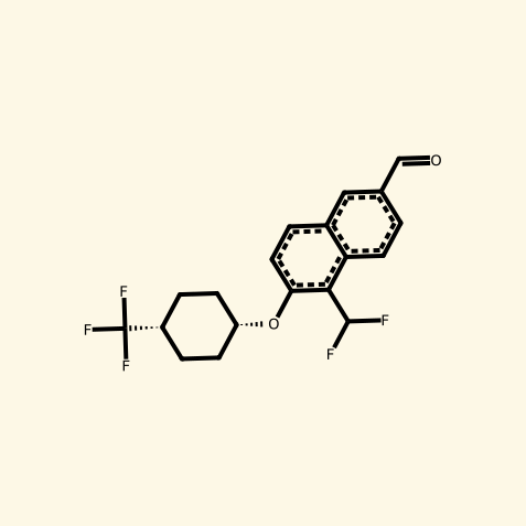 O=Cc1ccc2c(C(F)F)c(O[C@H]3CC[C@@H](C(F)(F)F)CC3)ccc2c1